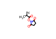 CC(=O)C(C)C(=O)ON1C(=O)CCC1=O